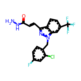 NNC(=O)C=Cc1nn(Cc2ccc(F)cc2Cl)c2cc(C(F)(F)F)ccc12